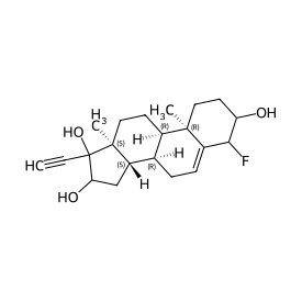 C#CC1(O)C(O)C[C@H]2[C@@H]3CC=C4C(F)C(O)CC[C@]4(C)[C@@H]3CC[C@@]21C